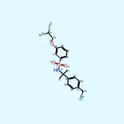 CC(C)(NS(=O)(=O)c1cccc(OCC(F)F)c1)c1ccc(CBr)cc1